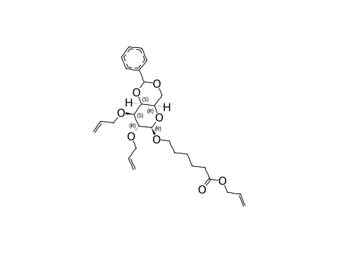 C=CCOC(=O)CCCCCO[C@@H]1O[C@@H]2COC(c3ccccc3)O[C@@H]2[C@H](OCC=C)[C@H]1OCC=C